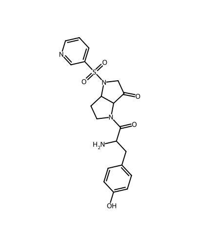 NC(Cc1ccc(O)cc1)C(=O)N1CCC2C1C(=O)CN2S(=O)(=O)c1cccnc1